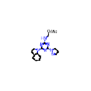 COCNc1nc(-n2cccn2)nc(-n2ccc3ccccc32)n1